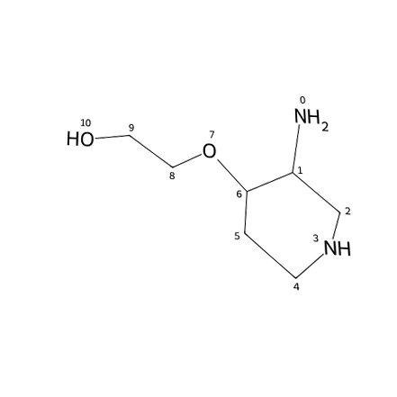 NC1CNCCC1OCCO